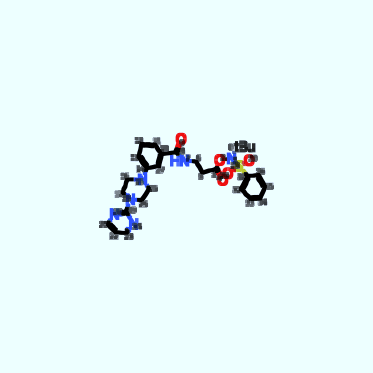 CC(C)(C)N(OC(=O)CCNC(=O)c1cccc(N2CCN(c3ncccn3)CC2)c1)S(=O)(=O)c1ccccc1